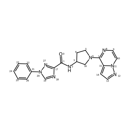 O=C(NC1CCN(c2nccn3nccc23)C1)c1ncn(-c2ccccc2)n1